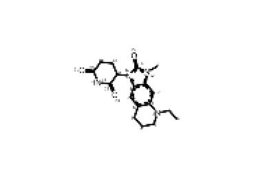 CCN1CCCc2cc3c(cc21)n(C)c(=O)n3C1CCC(=O)NC1=O